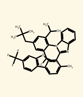 Cc1ccc2c(oc3cc(C(F)(F)F)ccc32)c1-c1nc2ccccc2n1-c1c(C(C)C)cc(CC(C)(C)C)cc1C(C)C